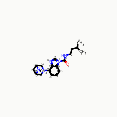 CC(C)CCNC(=O)n1cnc2c(N3CC4CC(C3)N4C)cccc21